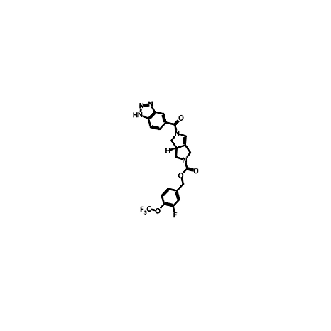 O=C(c1ccc2[nH]nnc2c1)N1C=C2CN(C(=O)OCc3ccc(OC(F)(F)F)c(F)c3)C[C@@H]2C1